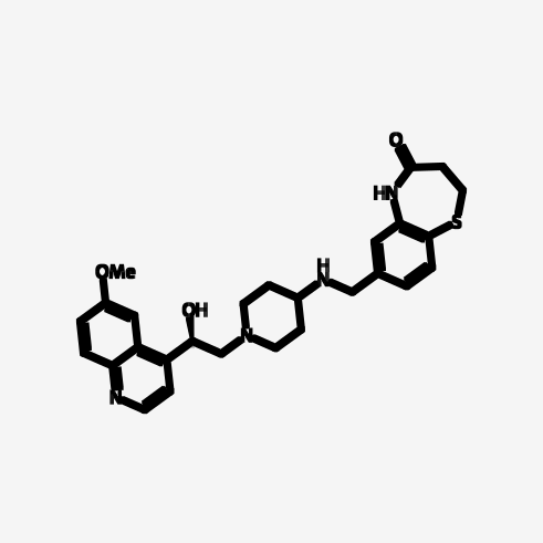 COc1ccc2nccc([C@@H](O)CN3CCC(NCc4ccc5c(c4)NC(=O)CCS5)CC3)c2c1